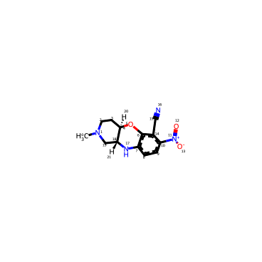 CN1CC[C@H]2Oc3c(ccc([N+](=O)[O-])c3C#N)N[C@@H]2C1